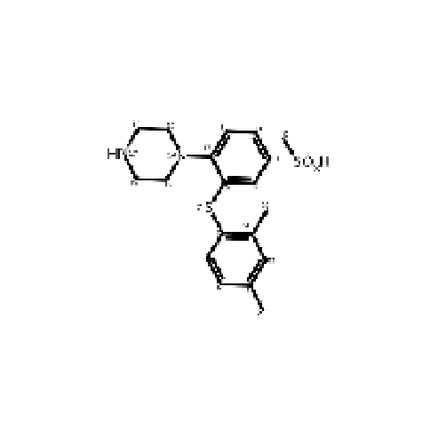 CS(=O)(=O)O.Cc1ccc(Sc2ccccc2N2CCNCC2)c(C)c1